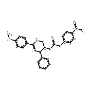 COc1ccc(C2=NC(c3ccccc3)C(OC(=O)Oc3ccc([N+](=O)[O-])cc3)CO2)cc1